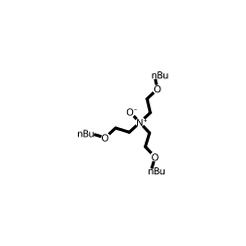 CCCCOCC[N+]([O-])(CCOCCCC)CCOCCCC